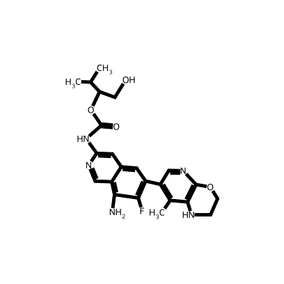 Cc1c(-c2cc3cc(NC(=O)OC(CO)C(C)C)ncc3c(N)c2F)cnc2c1NCCO2